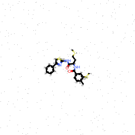 CSCCC(NC(=O)c1ccc(C)c(SC)c1)C(=O)Nc1nc(-c2ccccc2)cs1